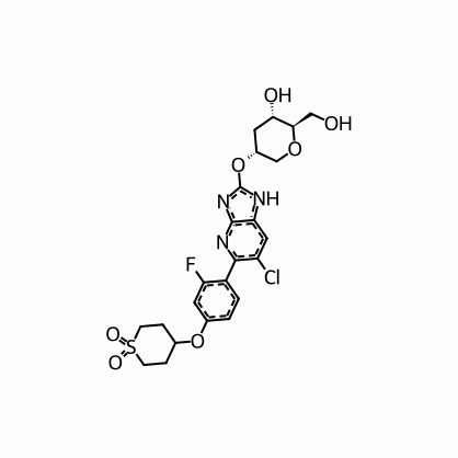 O=S1(=O)CCC(Oc2ccc(-c3nc4nc(O[C@H]5CO[C@H](CO)[C@@H](O)C5)[nH]c4cc3Cl)c(F)c2)CC1